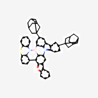 c1ccc2c(c1)Sc1cccc3c1N2B1c2c(cc4c(oc5ccccc54)c2-3)-n2c3ccc(C45CC6CC(CC(C6)C4)C5)cc3c3cc(C45CC6CC(CC(C6)C4)C5)cc1c32